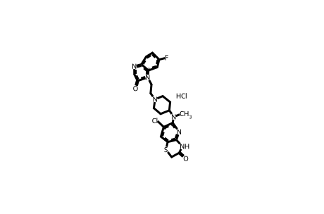 CN(c1nc2c(cc1Cl)SCC(=O)N2)C1CCN(CCn2c(=O)cnc3ccc(F)cc32)CC1.Cl